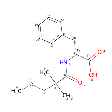 COCC(C)(C)C(=O)N[C@H](Cc1ccccc1)C(=O)O